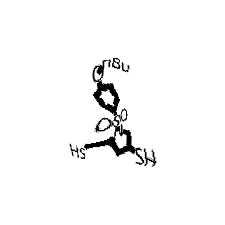 CCCCOc1ccc(S(=O)(=O)N2CC(S)CC2CS)cc1